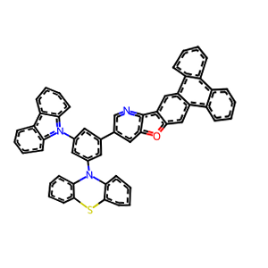 c1ccc2c(c1)Sc1ccccc1N2c1cc(-c2cnc3c(c2)oc2cc4c5ccccc5c5ccccc5c4cc23)cc(-n2c3ccccc3c3ccccc32)c1